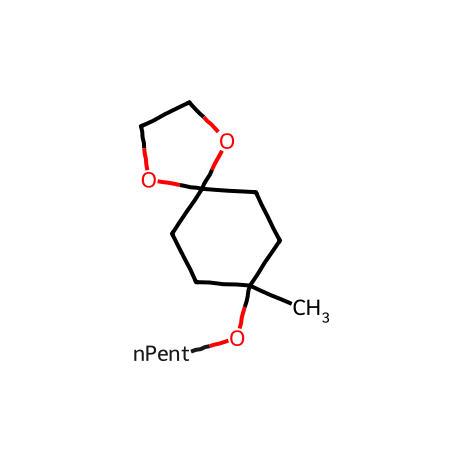 CCCCCOC1(C)CCC2(CC1)OCCO2